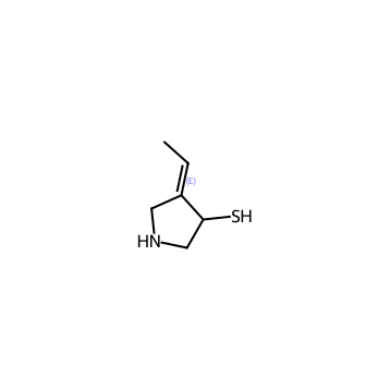 C/C=C1\CNCC1S